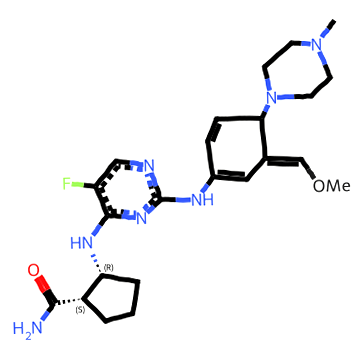 COC=C1C=C(Nc2ncc(F)c(N[C@@H]3CCC[C@@H]3C(N)=O)n2)C=CC1N1CCN(C)CC1